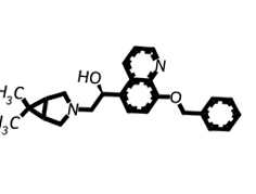 CC1(C)C2CN(C[C@@H](O)c3ccc(OCc4ccccc4)c4ncccc34)CC21